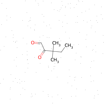 CCC(C)(C)C(=O)C=O